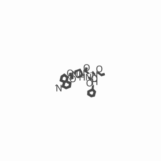 C=CC(=O)NC[C@H](NC(=O)OCc1ccccc1)C(=O)N1CCN(S(=O)(=O)c2cccc3c(N(C)C)cccc23)CC1